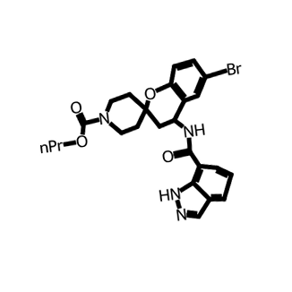 CCCOC(=O)N1CCC2(CC1)CC(NC(=O)c1cccc3cn[nH]c13)c1cc(Br)ccc1O2